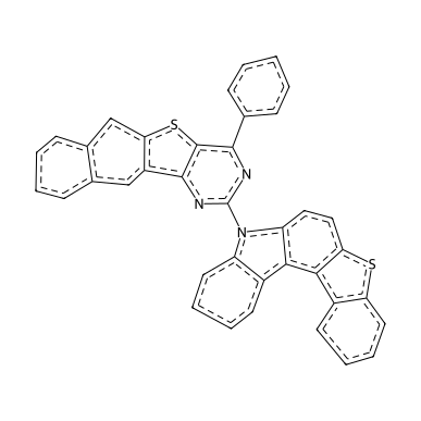 c1ccc(-c2nc(-n3c4ccccc4c4c5c(ccc43)sc3ccccc35)nc3c2sc2cc4ccccc4cc23)cc1